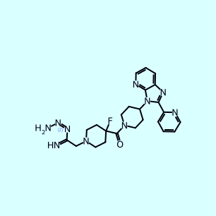 N=C(CN1CCC(F)(C(=O)N2CCC(n3c(-c4ccccn4)nc4cccnc43)CC2)CC1)/N=N\N